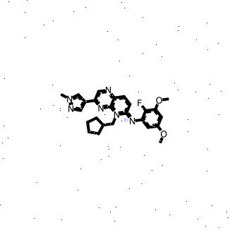 COc1cc(/N=c2\ccc3ncc(-c4cnn(C)c4)nc3n2CC2CCCC2)c(F)c(OC)c1